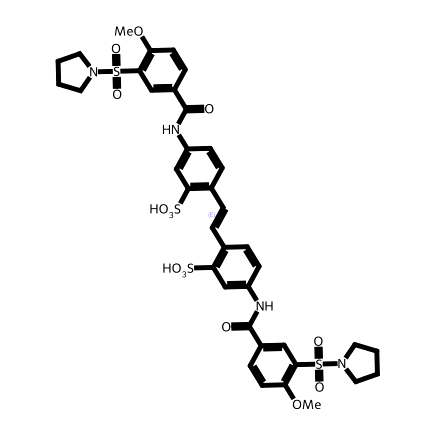 COc1ccc(C(=O)Nc2ccc(/C=C/c3ccc(NC(=O)c4ccc(OC)c(S(=O)(=O)N5CCCC5)c4)cc3S(=O)(=O)O)c(S(=O)(=O)O)c2)cc1S(=O)(=O)N1CCCC1